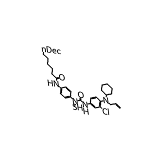 C=CCN(c1ccc(NC(=O)N(S)c2ccc(NC(=O)CCCCCCCCCCCCCCC)cc2)cc1Cl)C1CCCCC1